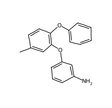 Cc1ccc(Oc2ccccc2)c(Oc2cccc(N)c2)c1